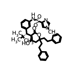 Cn1cnc(S(=O)(=O)Nc2cccc([C@H](C3=C(O)CC(CCc4ccccc4)(CCc4ccccc4)OC3=O)C(C)(C)C)c2)c1